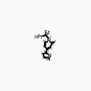 C=C1C=C(C2=NN=CC2)C=CN1CC(CC)CCC